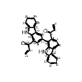 C=CC(=O)c1ccc2c([nH]c3ccccc32)c1-c1cc(C(=O)C=C)c2[nH]c3ccccc3c2c1